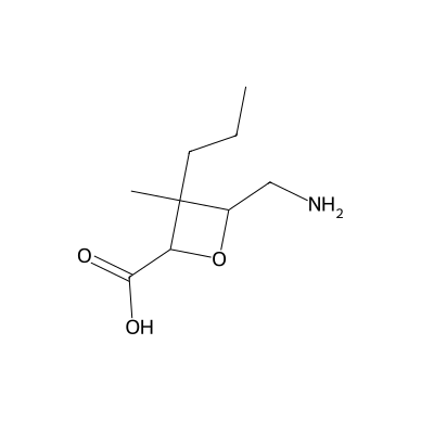 CCCC1(C)C(CN)OC1C(=O)O